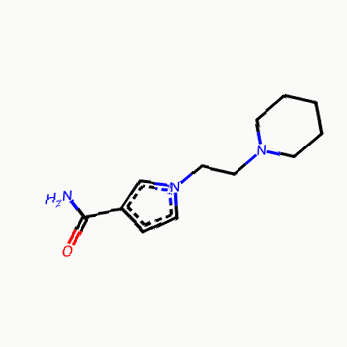 NC(=O)c1ccn(CCN2CCCCC2)c1